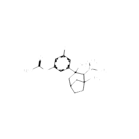 CN(C)C1C2(C)CCC(C2)CC1(O)c1cc(F)cc(OC(=O)C(C)(C)C)c1